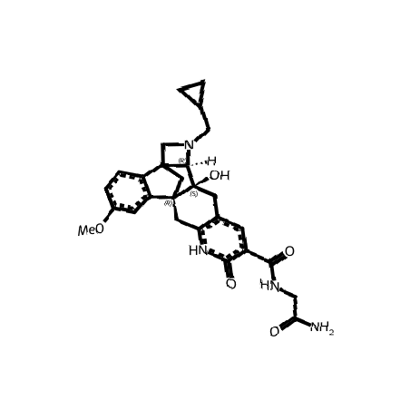 COc1ccc2c(c1)[C@@]13Cc4[nH]c(=O)c(C(=O)NCC(N)=O)cc4C[C@@]1(O)[C@@H]1N(CC4CC4)CC21C3